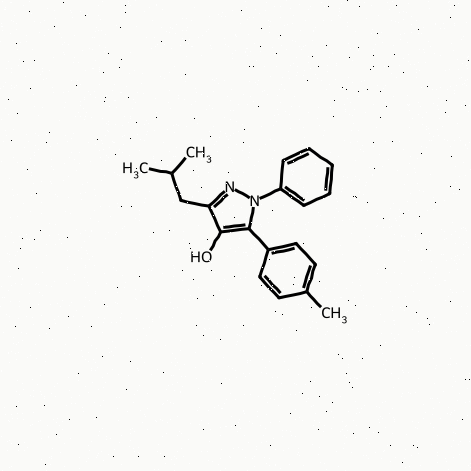 Cc1ccc(-c2c(O)c(CC(C)C)nn2-c2ccccc2)cc1